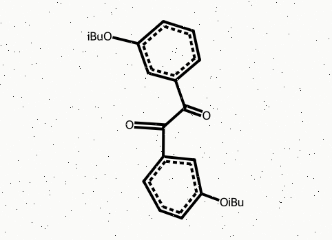 CC(C)COc1cccc(C(=O)C(=O)c2cccc(OCC(C)C)c2)c1